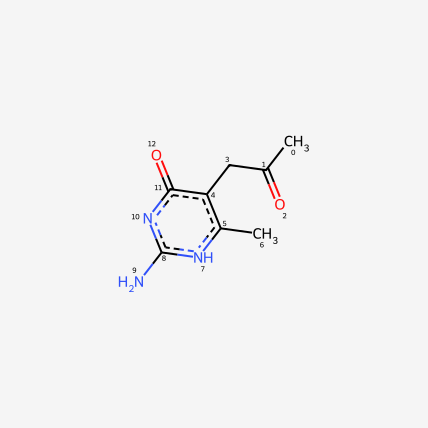 CC(=O)Cc1c(C)[nH]c(N)nc1=O